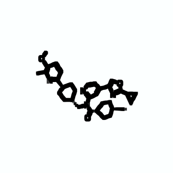 [CH2][C@H]1CC[C@H](C(=O)N(C[C@H]2CC[C@H](c3ccc(OC)c(C)n3)CC2)c2cc(-c3coc(C4CC4)n3)ccn2)CC1